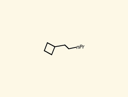 CCCCCC1CCC1